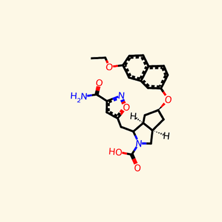 CCOc1ccc2ccc(O[C@H]3C[C@H]4CN(C(=O)O)C(Cc5cc(C(N)=O)no5)[C@H]4C3)cc2c1